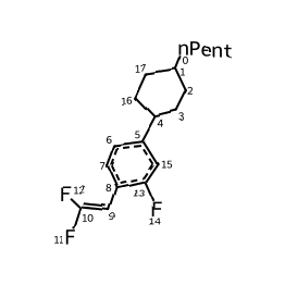 CCCCCC1CCC(c2ccc(C=C(F)F)c(F)c2)CC1